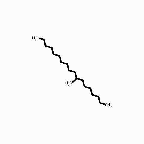 CCCCCCCCCCC([SiH3])CCCCCCC